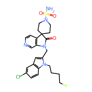 NS(=O)(=O)N1CCC2(CC1)C(=O)N(Cc1cc3cc(Cl)ccc3n1CCCCF)c1cnccc12